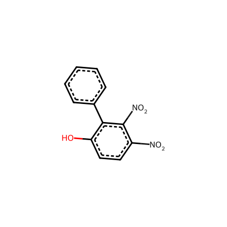 O=[N+]([O-])c1ccc(O)c(-c2ccccc2)c1[N+](=O)[O-]